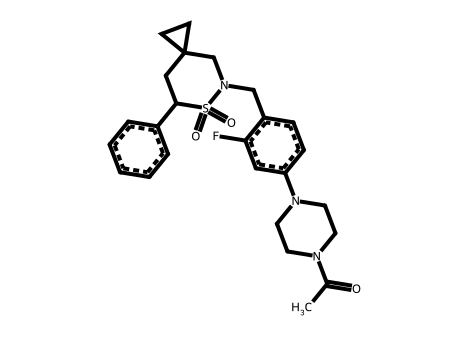 CC(=O)N1CCN(c2ccc(CN3CC4(CC4)CC(c4ccccc4)S3(=O)=O)c(F)c2)CC1